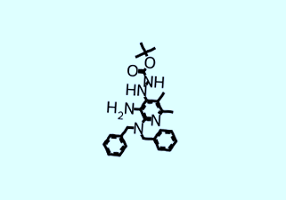 Cc1nc(N(Cc2ccccc2)Cc2ccccc2)c(N)c(NNC(=O)OC(C)(C)C)c1C